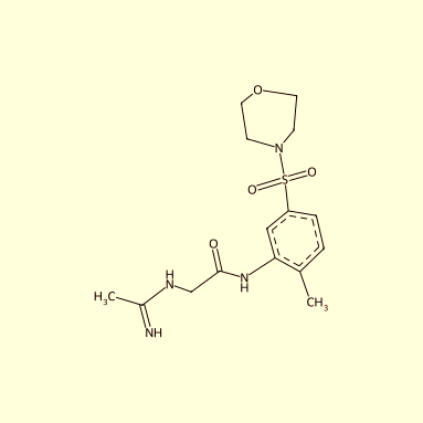 CC(=N)NCC(=O)Nc1cc(S(=O)(=O)N2CCOCC2)ccc1C